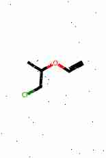 C=COC(C)CCl